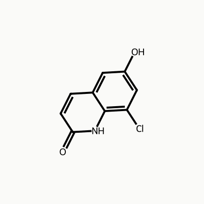 O=c1ccc2cc(O)cc(Cl)c2[nH]1